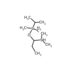 CCC(O[Si](C)(C)C(C)C)[SiH](C)C